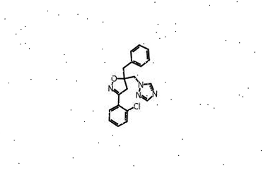 Clc1ccccc1C1=NOC(Cc2ccccc2)(Cn2cncn2)C1